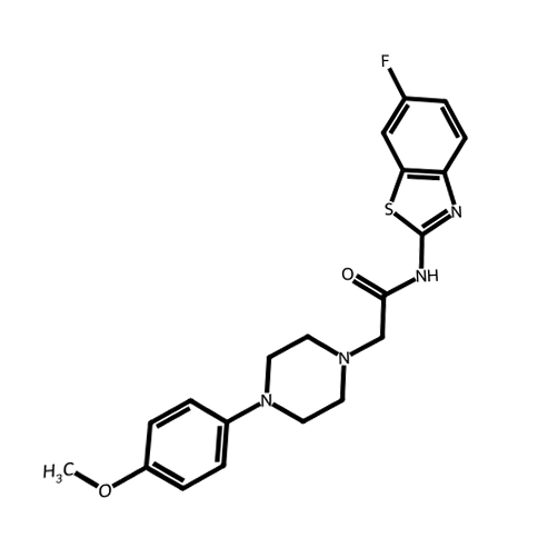 COc1ccc(N2CCN(CC(=O)Nc3nc4ccc(F)cc4s3)CC2)cc1